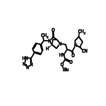 CC1CC(C#N)N(C(=O)C(CN2C[C@@H]3CC2C(=O)N3C(C)c2ccc(-c3nnn[nH]3)cc2)NC(=O)OC(C)(C)C)C1